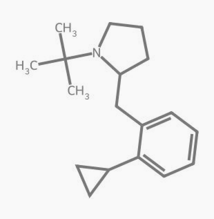 CC(C)(C)N1CCCC1Cc1ccccc1C1CC1